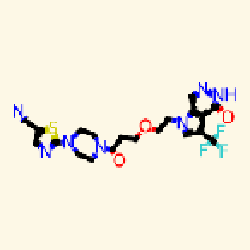 N#Cc1cnc(N2CCN(C(=O)CCOCCn3cc(C(F)(F)F)c4c(=O)[nH]ncc43)CC2)s1